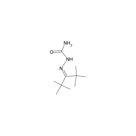 CC(C)(C)C(=NNC(N)=O)C(C)(C)C